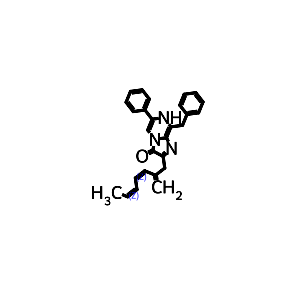 C=C(/C=C\C=C/C)Cc1nc2c(Cc3ccccc3)[nH]c(-c3ccccc3)cn-2c1=O